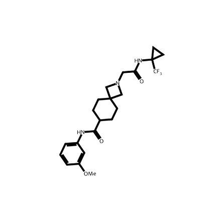 COc1cccc(NC(=O)C2CCC3(CC2)CN(CC(=O)NC2(C(F)(F)F)CC2)C3)c1